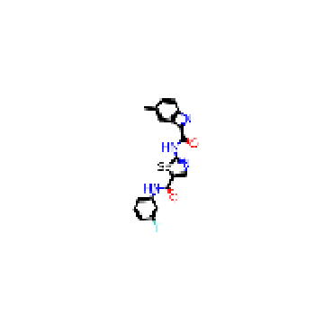 Cc1ccc2c(c1)C(C(=O)Nc1ncc(C(=O)Nc3cccc(F)c3)[se]1)=N2